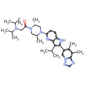 Cc1c(-c2[nH]c3ccc(N4C[C@@H](C)N(C(=O)CN(C(C)C)C(C)C)C[C@@H]4C)nc3c2C(C)C)cn2ncnc2c1C